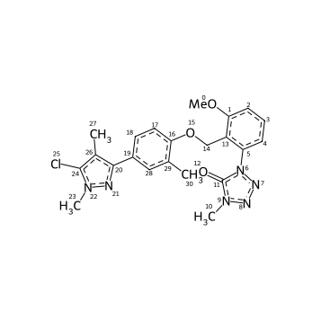 COc1cccc(-n2nnn(C)c2=O)c1COc1ccc(-c2nn(C)c(Cl)c2C)cc1C